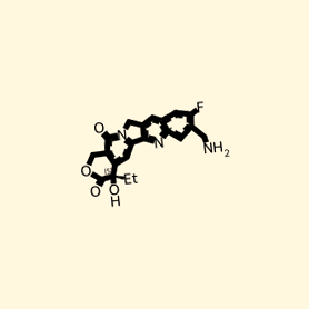 CC[C@@]1(O)C(=O)OCc2c1cc1n(c2=O)Cc2cc3cc(F)c(CN)cc3nc2-1